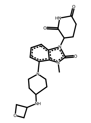 Cn1c(=O)n(C2CCC(=O)NC2=O)c2cccc(N3CCC(NC4COC4)CC3)c21